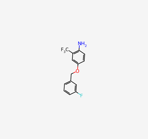 Nc1ccc(OCc2cccc(F)c2)cc1C(F)(F)F